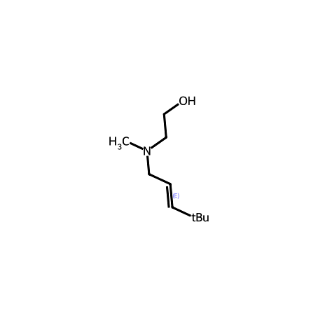 CN(C/C=C/C(C)(C)C)CCO